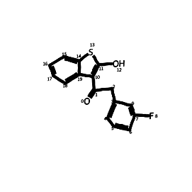 O=C(Cc1cccc(F)c1)c1c(O)sc2ccccc12